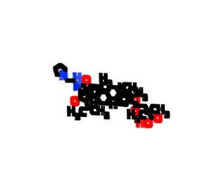 CC(C)C1=C2[C@H]3CC[C@@H]4[C@@]5(C)CC[C@H](OC(=O)CC(C)(C)C(=O)O)C(C)(C)[C@@H]5CC[C@@]4(C)[C@]3(C)CC[C@@]2(C(=O)NCCN2CCCC2)CC1=O